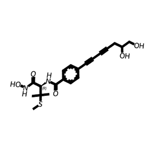 CSC(C)(C)[C@H](NC(=O)c1ccc(C#CC#CCC(O)CO)cc1)C(=O)NO